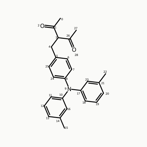 CC(=O)C(Cc1ccc(N(c2cccc(C)c2)c2cccc(C)c2)cc1)C(C)=O